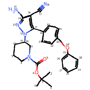 CC(C)(C)OC(=O)N1CCC[C@@H](n2nc(N)c(C#N)c2-c2ccc(Oc3ccccc3)cc2)C1